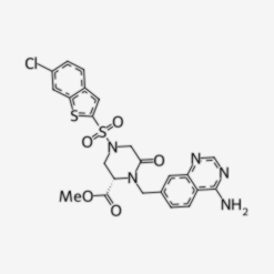 COC(=O)[C@@H]1CN(S(=O)(=O)c2cc3ccc(Cl)cc3s2)CC(=O)N1Cc1ccc2c(N)ncnc2c1